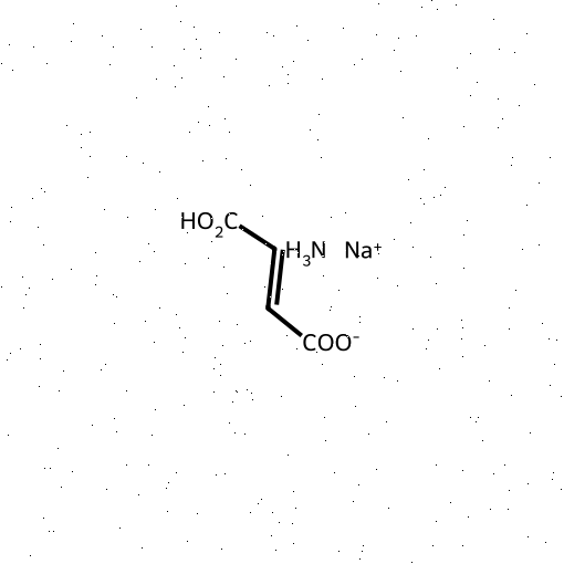 N.O=C([O-])C=CC(=O)O.[Na+]